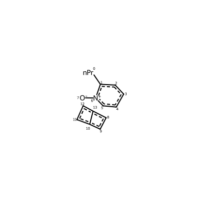 CCCc1cccc[n+]1[O-].c1cc2ccc1-2